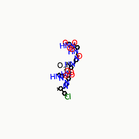 CC1(C)CCC(CN2CCN(c3ccc(C(=O)NS(=O)(=O)c4ccc(NCC5CCN(C(=O)CCNc6cccc7c6C(=O)N(C6CCC(=O)NC6=O)C7=O)CC5)c([N+](=O)[O-])c4)c(Oc4cnc5[nH]ccc5c4)c3)CC2)=C(c2ccc(Cl)cc2)C1